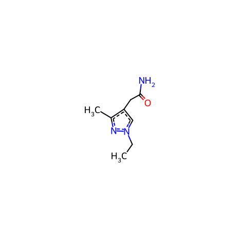 CCn1cc(CC(N)=O)c(C)n1